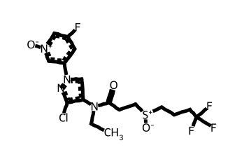 CCN(C(=O)CC[S+]([O-])CCCC(F)(F)F)c1cn(-c2cc(F)c[n+]([O-])c2)nc1Cl